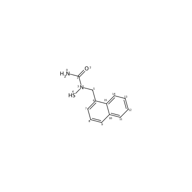 NC(=O)N(S)Cc1cccc2ccccc12